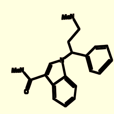 CNCCC(c1ccccc1)n1cc(C(=O)NC)c2ccccc21